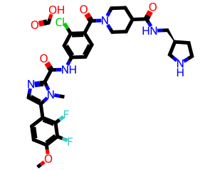 COc1ccc(-c2cnc(C(=O)Nc3ccc(C(=O)N4CCC(C(=O)NC[C@H]5CCNC5)CC4)c(Cl)c3)n2C)c(F)c1F.O=CO